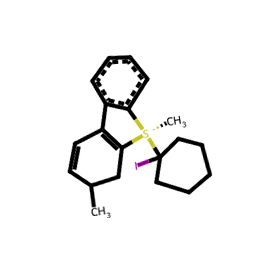 CC1C=CC2=C(C1)[S@](C)(C1(I)CCCCC1)c1ccccc12